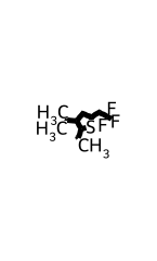 CCC1SC(CC(F)(F)F)CC1C(C)C